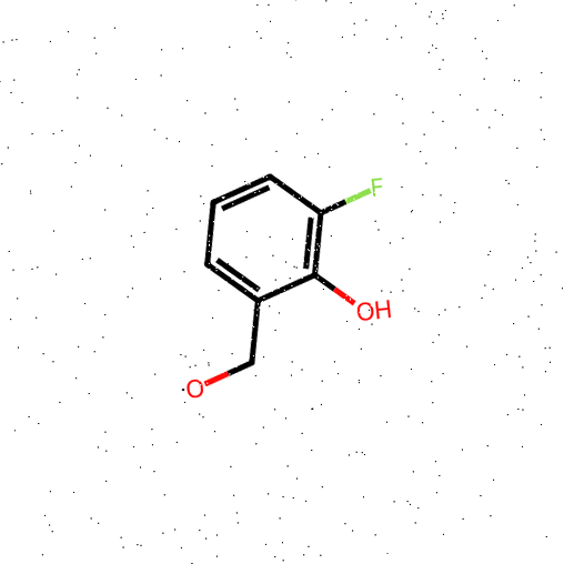 [O]Cc1cccc(F)c1O